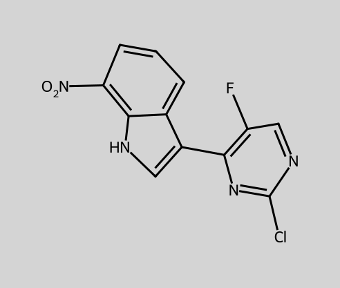 O=[N+]([O-])c1cccc2c(-c3nc(Cl)ncc3F)c[nH]c12